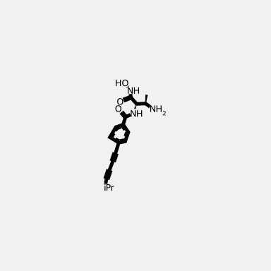 CC(C)C#CC#Cc1ccc(C(=O)N[C@H](C(=O)NO)[C@@H](C)N)cc1